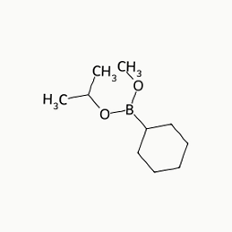 COB(OC(C)C)C1CCCCC1